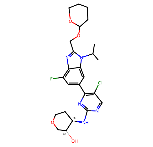 CC(C)n1c(COC2CCCCO2)nc2c(F)cc(-c3nc(N[C@@H]4CCOC[C@H]4O)ncc3Cl)cc21